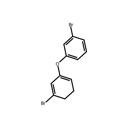 BrC1=CC(Oc2cccc(Br)c2)=CCC1